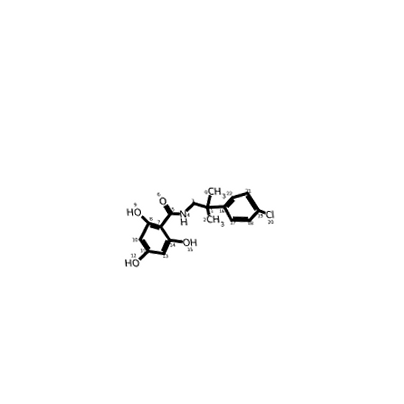 CC(C)(CNC(=O)c1c(O)cc(O)cc1O)c1ccc(Cl)cc1